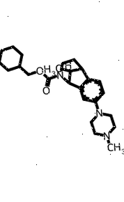 C[C@H]1C2CCN(C(=O)OCC3CCCCC3)C1c1cc(N3CCN(C)CC3)ccc12